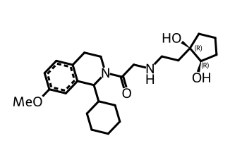 COc1ccc2c(c1)C(C1CCCCC1)N(C(=O)CNCC[C@]1(O)CCC[C@H]1O)CC2